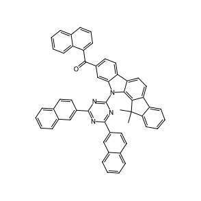 CC1(C)c2ccccc2-c2ccc3c4ccc(C(=O)c5cccc6ccccc56)cc4n(-c4nc(-c5ccc6ccccc6c5)nc(-c5ccc6ccccc6c5)n4)c3c21